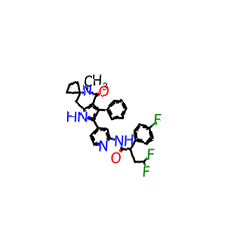 CN1C(=O)c2c([nH]c(-c3ccnc(NC(=O)C(CC(F)F)c4ccc(F)cc4)c3)c2-c2ccccc2)CC12CCC2